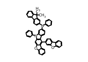 CC1(C)c2ccccc2-c2ccc(N(c3ccccc3)c3ccc4c5c(-c6ccc7c(c6)oc6ccccc67)c6c(cc5n(-c5ccccc5)c4c3)oc3ccccc36)cc21